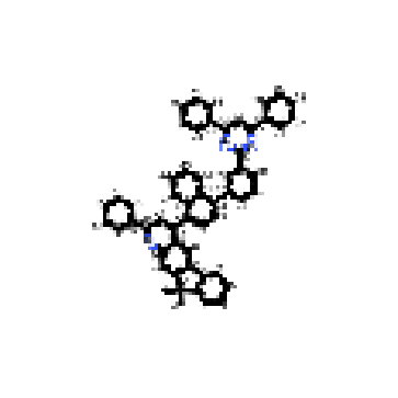 CC1(C)c2ccccc2-c2cc3c(-c4ccc(-c5cccc(-c6nc(-c7ccccc7)cc(-c7ccccc7)n6)c5)c5ccccc45)cc(-c4ccccc4)nc3cc21